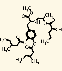 CCCC(C)C(=O)OC(C)CN[C@@H](Cc1ccc(OC(=O)CC(C)CC)c(OC(=O)CC(C)CC)c1)C(=O)OC